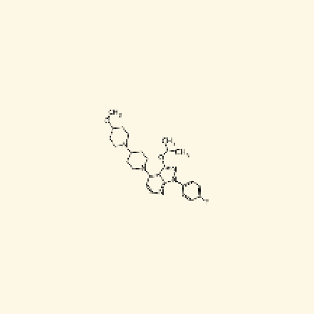 COC1CCN(C2CCN(c3c[c]nc4c3c(OC(C)C)nn4-c3ccc(F)cc3)CC2)CC1